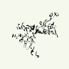 C=CC=C[C@H](C)[C@H](OC(N)=O)[C@@H](C)[C@H](O[Si](C)(C)C(C)(C)C)[C@@H](C)C(=O)N(C)C[C@H](C)[C@@H](O[Si](C)(C)C(C)(C)C)[C@@H](C)C=CC=O